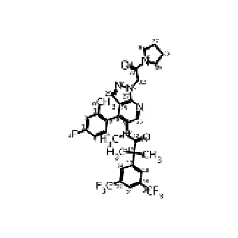 Cc1cc(F)ccc1-c1c(N(C)C(=O)C(C)(C)c2cc(C(F)(F)F)cc(C(F)(F)F)c2)cnc2c1cnn2CC(=O)N1CCCC1